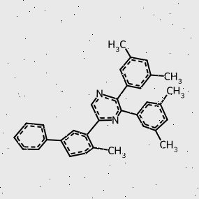 Cc1cc(C)cc(-c2ncc(-c3cc(-c4ccccc4)ccc3C)nc2-c2cc(C)cc(C)c2)c1